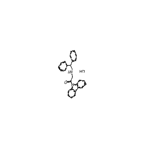 Cl.O=C(CNCC(c1ccccc1)c1ccccc1)n1c2ccccc2c2ccccc21